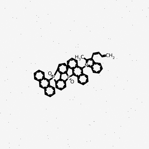 C=C/C=C\c1c(C)n(-c2c3ccccc3c(P3(=O)c4cccc5c4-c4c(cccc43)P5(=O)c3c4ccccc4cc4ccccc34)c3ccccc23)c2ccccc12